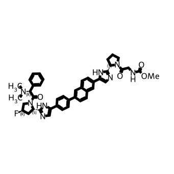 COC(=O)NCC(=O)N1CCC[C@H]1c1ncc(-c2ccc3cc(-c4ccc(-c5cnc([C@@H]6C[C@@H](F)CN6C(=O)[C@@H](c6ccccc6)N(C)C)[nH]5)cc4)ccc3c2)[nH]1